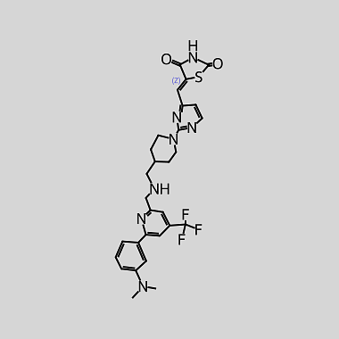 CN(C)c1cccc(-c2cc(C(F)(F)F)cc(CNCC3CCN(c4nccc(/C=C5\SC(=O)NC5=O)n4)CC3)n2)c1